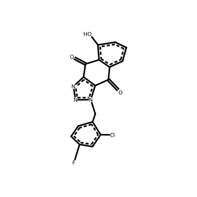 O=C1c2nnn(Cc3ccc(F)cc3Cl)c2C(=O)c2cccc(O)c21